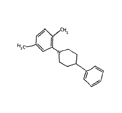 Cc1ccc(C)c(N2CCC(c3ccccc3)CC2)c1